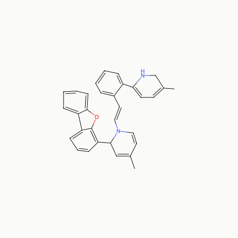 CC1=CC(c2cccc3c2oc2ccccc23)N(/C=C/c2ccccc2C2=CC=C(C)CN2)C=C1